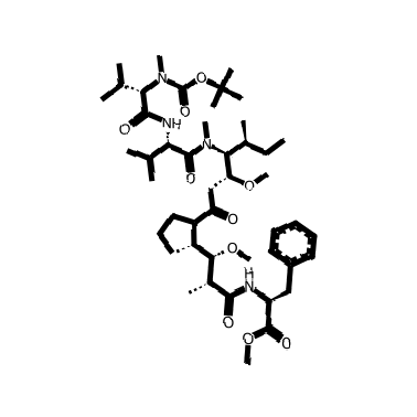 CC[C@H](C)[C@@H]([C@@H](CC(=O)C1CCC[C@H]1[C@H](OC)[C@@H](C)C(=O)N[C@@H](Cc1ccccc1)C(=O)OC)OC)N(C)C(=O)[C@@H](NC(=O)[C@H](C(C)C)N(C)C(=O)OC(C)(C)C)C(C)C